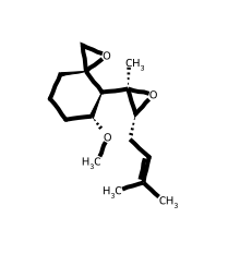 CO[C@@H]1CCC[C@]2(CO2)[C@H]1[C@@]1(C)O[C@@H]1CC=C(C)C